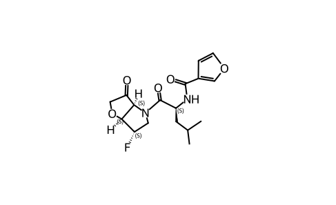 CC(C)C[C@H](NC(=O)c1ccoc1)C(=O)N1C[C@H](F)[C@H]2OCC(=O)[C@H]21